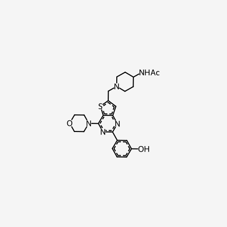 CC(=O)NC1CCN(Cc2cc3nc(-c4cccc(O)c4)nc(N4CCOCC4)c3s2)CC1